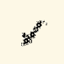 Nc1ccc(N2CCN(c3ccc(OC(Cn4ccnc4)c4ccc(Cl)cc4Cl)cc3)CC2)cc1